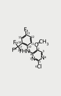 COc1cnc(Cl)nc1Nc1ccc(F)cc1C(F)(F)F